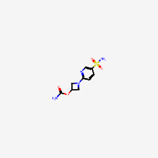 NC(=O)OC1CN(c2ccc(S(N)(=O)=O)cn2)C1